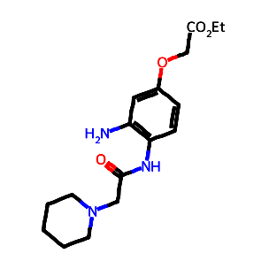 CCOC(=O)COc1ccc(NC(=O)CN2CCCCC2)c(N)c1